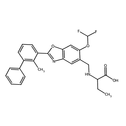 CCC(NCc1cc2nc(-c3cccc(-c4ccccc4)c3C)oc2cc1OC(F)F)C(=O)O